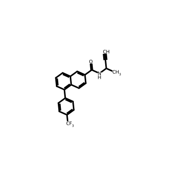 C#CC(C)NC(=O)c1ccc2c(-c3ccc(C(F)(F)F)cc3)cccc2c1